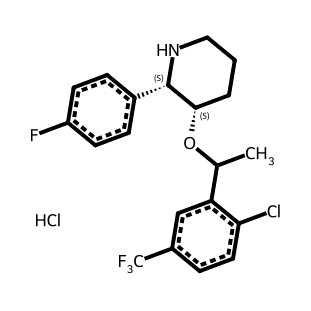 CC(O[C@H]1CCCN[C@H]1c1ccc(F)cc1)c1cc(C(F)(F)F)ccc1Cl.Cl